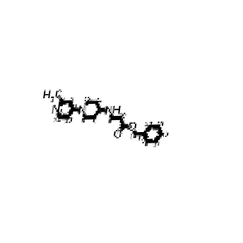 Cc1cc(N2CCC(NCCC(=O)OCc3ccccc3)CC2)ccn1